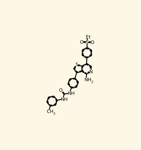 CCS(=O)(=O)c1ccc(-c2cnc(N)c3c(-c4ccc(NC(=O)Nc5cccc(C)c5)cc4)csc23)cc1